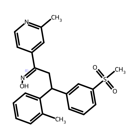 Cc1cc(/C(CC(c2cccc(S(C)(=O)=O)c2)c2ccccc2C)=N/O)ccn1